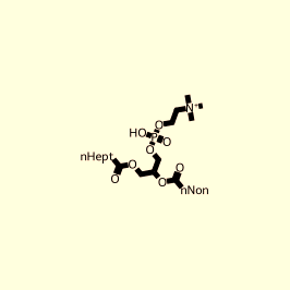 CCCCCCCCCC(=O)OC(COC(=O)CCCCCCC)COP(=O)(O)OCC[N+](C)(C)C